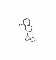 Fc1cccc2c1CN(C1CCC13COC3)CC2